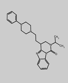 CC(C)N1CC(CCN2CCN(c3ccccc3)CC2)c2nc3ccccc3n2C1=O